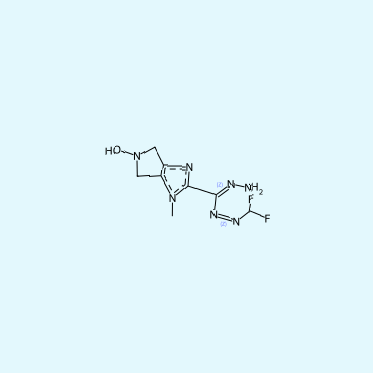 Cn1c(C(/N=N\C(F)F)=N/N)nc2c1CN(O)C2